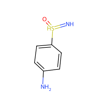 N=[SH](=O)c1ccc(N)cc1